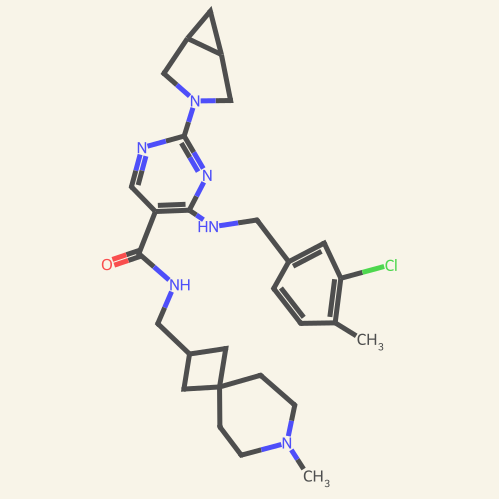 Cc1ccc(CNc2nc(N3CC4CC4C3)ncc2C(=O)NCC2CC3(CCN(C)CC3)C2)cc1Cl